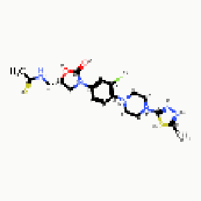 CC(=S)NC[C@H]1CN(c2ccc(N3CCN(c4nnc(C)s4)CC3)c(F)c2)C(=O)O1